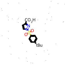 CC(C)(C)c1ccc(S(=O)(=O)n2ccc(C(=O)O)n2)cc1